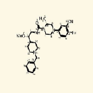 CO[C@H](CNC(=O)N1CCN(c2ccc(F)c(C#N)c2)C[C@H]1C)C1CCN(Cc2ccccc2)CC1